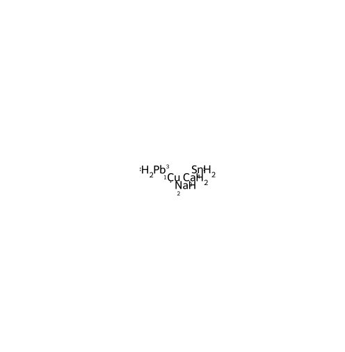 [CaH2].[Cu].[NaH].[PbH2].[SnH2]